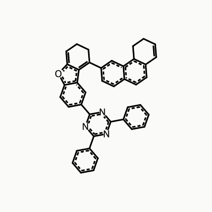 C1=Cc2ccc3ccc(C4=c5c(oc6ccc(-c7nc(-c8ccccc8)nc(-c8ccccc8)n7)cc56)=CCC4)cc3c2CC1